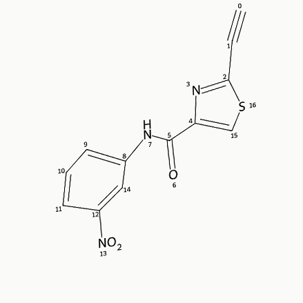 C#Cc1nc(C(=O)Nc2cccc([N+](=O)[O-])c2)cs1